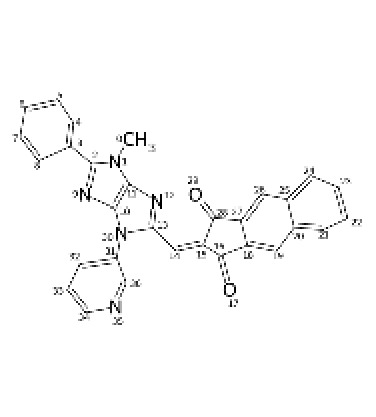 Cn1c(-c2ccccc2)nc2c1nc(C=C1C(=O)c3cc4ccccc4cc3C1=O)n2-c1cccnc1